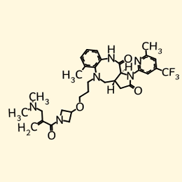 C=C(CN(C)C)C(=O)N1CC(OCCCN2C[C@H]3CC(=O)N(c4cc(C(F)(F)F)cc(C)n4)[C@@H]3C(=O)Nc3cccc(C)c32)C1